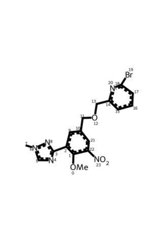 COc1c(-c2ncn(C)n2)cc(COCc2cccc(Br)n2)cc1[N+](=O)[O-]